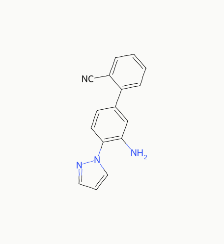 N#Cc1ccccc1-c1ccc(-n2cccn2)c(N)c1